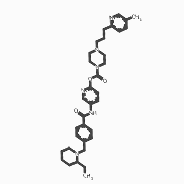 CCC1CCCCN1Cc1ccc(C(=O)Nc2ccc(OC(=O)N3CCN(CCCc4ccc(C)cn4)CC3)nc2)cc1